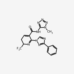 Cn1nnnc1NC(=O)C1=CCC(C(F)(F)F)N=C1n1cnc(-c2ccccc2)n1